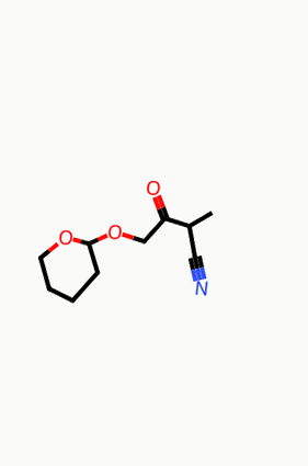 CC(C#N)C(=O)COC1CCCCO1